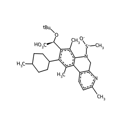 Cc1ccc2c(n1)CN([S+](C)[O-])c1c(C)c([C@H](OC(C)(C)C)C(=O)O)c(C3CCC(C)CC3)c(C)c1-2